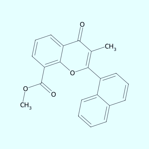 COC(=O)c1cccc2c(=O)c(C)c(-c3cccc4ccccc34)oc12